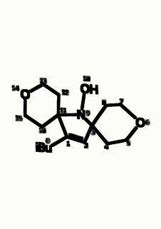 CCC(C)C1=CC2(CCOCC2)N(O)C12CCOCC2